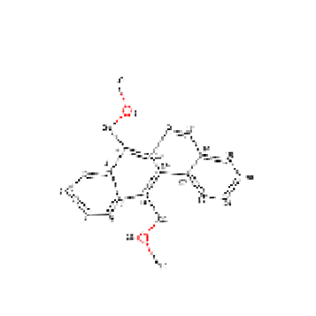 COCc1c2ccccc2c(COC)c2c1ccc1ccccc12